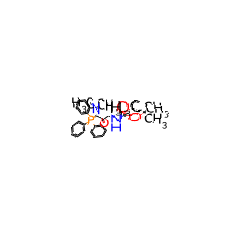 CN(C)C(C(=O)CNC(=O)OC(C)(C)C)=P(c1ccccc1)(c1ccccc1)c1ccccc1